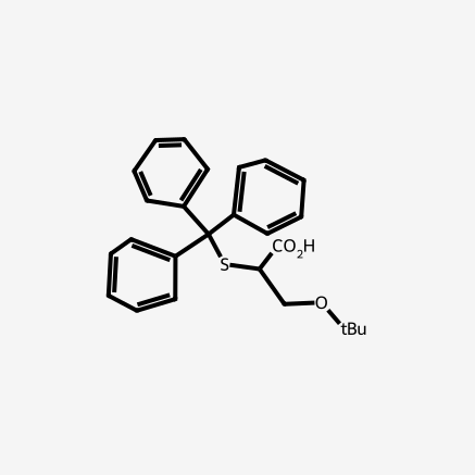 CC(C)(C)OCC(SC(c1ccccc1)(c1ccccc1)c1ccccc1)C(=O)O